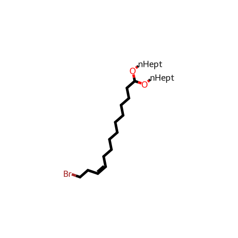 CCCCCCCOC(CCCCCCCCC/C=C\CCBr)OCCCCCCC